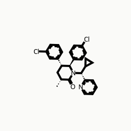 C[C@@H]1C[C@H](c2cccc(Cl)c2)[C@@H](c2ccc(Cl)cc2)N([C@@H](c2ccccn2)C2CC2)C1=O